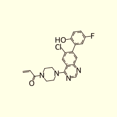 C=CC(=O)N1CCN(c2ncnc3cc(-c4cc(F)ccc4O)c(Cl)cc23)CC1